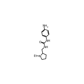 CCN1CCCC1CNC(=O)Nc1ccc(N)cc1